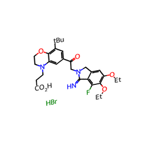 Br.CCOc1cc2c(c(F)c1OCC)C(=N)N(CC(=O)c1cc3c(c(C(C)(C)C)c1)OCCN3CCC(=O)O)C2